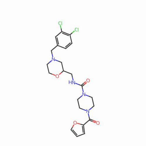 O=C(NCC1CN(Cc2ccc(Cl)c(Cl)c2)CCO1)N1CCN(C(=O)c2ccco2)CC1